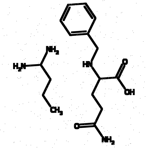 CCCC(N)N.NC(=O)CCC(NCc1ccccc1)C(=O)O